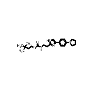 CC(C)(C)CCOC(=O)NCCc1nc(-c2ccc(N3CCCC3)cc2)c[nH]1